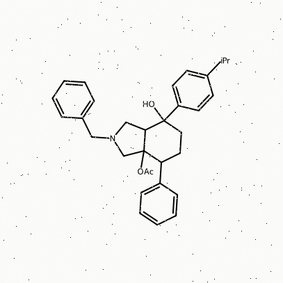 CC(=O)OC12CN(Cc3ccccc3)CC1C(O)(c1ccc(C(C)C)cc1)CCC2c1ccccc1